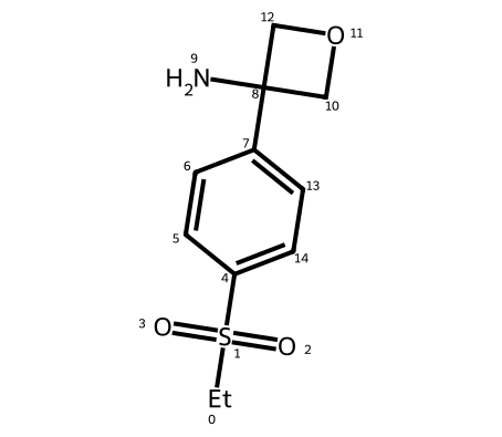 CCS(=O)(=O)c1ccc(C2(N)COC2)cc1